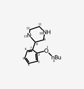 CCCCOc1ccccc1C1CNCC[N]1